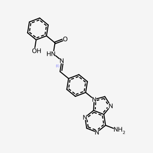 Nc1ncnc2c1ncn2-c1ccc(/C=N/NC(=O)c2ccccc2O)cc1